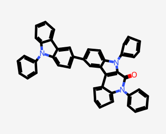 O=c1c2c(c3ccccc3n1-c1ccccc1)c1cc(-c3ccc4c(c3)c3ccccc3n4-c3ccccc3)ccc1n2-c1ccccc1